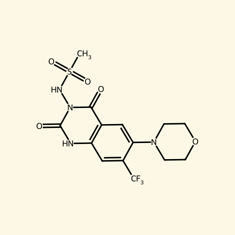 CS(=O)(=O)Nn1c(=O)[nH]c2cc(C(F)(F)F)c(N3CCOCC3)cc2c1=O